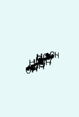 CC(O)CN(CCCCC1NC(=O)C(CCCCN(CC(C)O)CC(C)O)NC1=O)CC(C)O